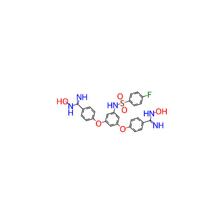 N=C(NO)c1ccc(Oc2cc(NS(=O)(=O)c3ccc(F)cc3)cc(Oc3ccc(C(=N)NO)cc3)c2)cc1